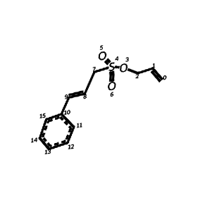 C=CCOS(=O)(=O)CC=Cc1ccccc1